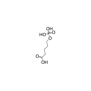 O=C(O)CCCCOP(=O)(O)O